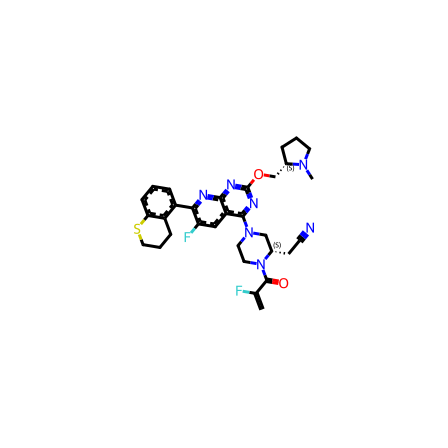 C=C(F)C(=O)N1CCN(c2nc(OC[C@@H]3CCCN3C)nc3nc(-c4cccc5c4CCCS5)c(F)cc23)C[C@@H]1CC#N